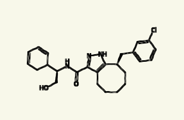 O=C(N[C@@H](CO)C1C=CC=CC1)c1n[nH]c2c1CCCCC[C@@H]2Cc1cccc(Cl)c1